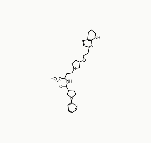 O=C(O)C(CCN1CC[C@@H](OCCc2ccc3c(n2)NCCC3)C1)NC(=O)[C@H]1CCN(c2ccccn2)C1